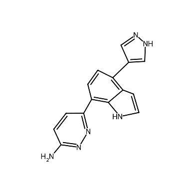 Nc1ccc(-c2ccc(-c3cn[nH]c3)c3cc[nH]c23)nn1